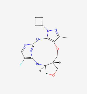 Cc1nn(C2CCC2)c2c1OC[C@@H]1COC[C@H]1Nc1nc(ncc1F)N2